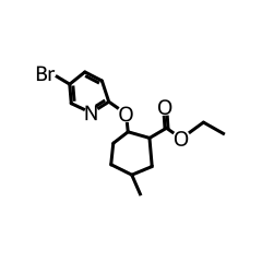 CCOC(=O)C1CC(C)CCC1Oc1ccc(Br)cn1